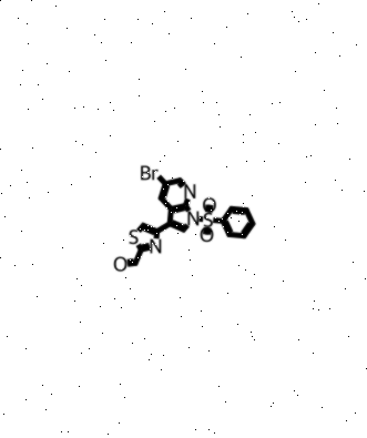 O=Cc1nc(-c2cn(S(=O)(=O)c3ccccc3)c3ncc(Br)cc23)cs1